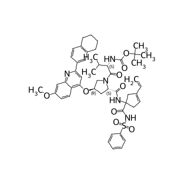 C=CC1=CCC(NC(=O)[C@@H]2C[C@@H](Oc3cc(-c4ccc5c(c4)CCCC5)nc4cc(OC)ccc34)CN2C(=O)[C@@H](NC(=O)OC(C)(C)C)C(C)C)(C(=O)NS(=O)(=O)c2ccccc2)C1